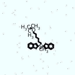 CC(C)(C)OCCCCCC[Si](C)(C1=Cc2ccccc2[CH]1)C1=Cc2ccccc2[CH]1